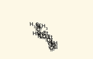 CCc1nc(NS(=O)(=O)c2ccccc2Cl)ccc1-c1cc(CC)c2nc(N[C@H]3CC[C@H](N(C)C)CC3)ncc2c1